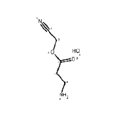 Cl.N#CCOC(=O)CCN